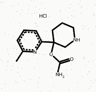 Cc1cccc(C2(OC(N)=O)CCCNC2)n1.Cl